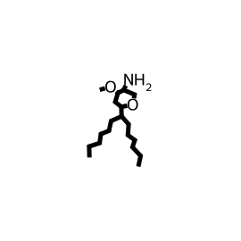 CCCCCCC(CCCCCC)C1CC(OC)C(N)CO1